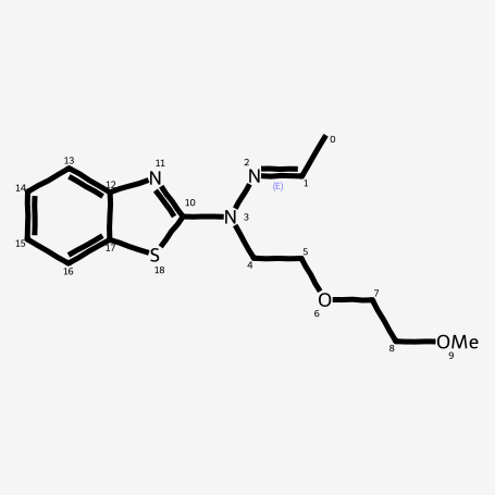 C/C=N/N(CCOCCOC)c1nc2ccccc2s1